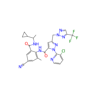 Cc1cc(C#N)cc(C(=O)NC(C)C2CC2)c1NC(=O)c1cc(Cn2ncc(C(F)(F)F)n2)nn1-c1ncccc1Cl